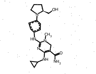 CN1CC(C(N)=O)=C(NC2CC2)N=C1Nc1ccc(N2CCC[C@H]2CO)cc1